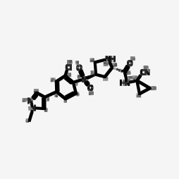 Cn1cc(-c2ccc(S(=O)(=O)[C@H]3CN[C@H](C(=O)NC4(C#N)CC4)C3)c(Cl)c2)cn1